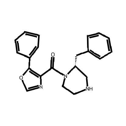 O=C(c1ncoc1-c1ccccc1)N1CCNC[C@H]1Cc1ccccc1